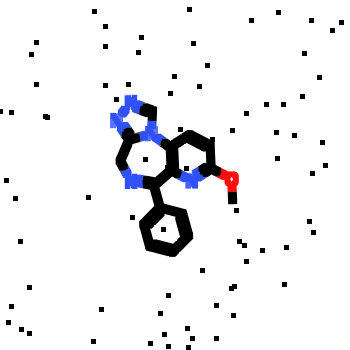 COc1ccc2c(n1)C(c1ccccc1)=NCc1nncn1-2